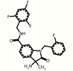 CC1(N)C(=O)N(Cc2ccccc2F)c2cc(C(=O)NCc3c(F)cc(F)cc3F)ccc21